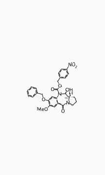 COc1cc2c(cc1OCc1ccccc1)N(C(=O)OCc1ccc([N+](=O)[O-])cc1)C(O)[C@@H]1CCCN1C2=O